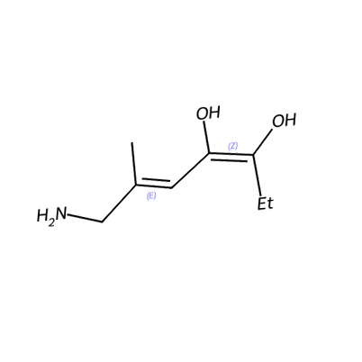 CC/C(O)=C(O)\C=C(/C)CN